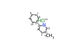 Cc1ccc(-c2ccccc2)nc1.Cl